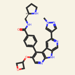 Cn1cc(-c2cc3c(cn2)[nH]c2ncc(OC4COC4)c(-c4ccc(C(=O)NC[C@H]5CCCN5)cc4)c23)cn1